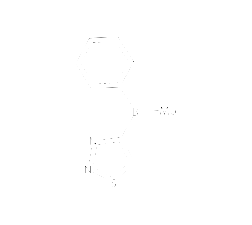 [Mo][B](c1ccccc1)c1csnn1